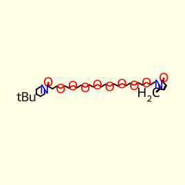 C=C1C=CC(=O)N1CCOCCOCCOCCOCCOCCOCCOCCOCCC(=O)N1CCC(C(C)(C)C)CC1